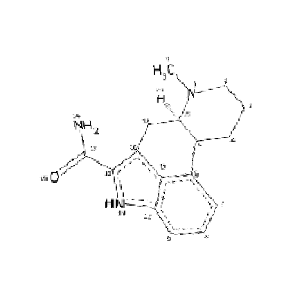 CN1C[CH]CC2c3cccc4[nH]c(C(N)=O)c(c34)C[C@H]21